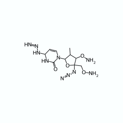 CC1C(N2C=CC(NN=N)NC2=O)OC(CON)(N=[N+]=[N-])C1ON